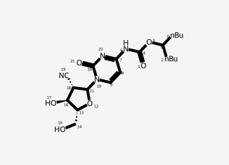 CCCCC(CCCC)OC(=O)Nc1ccn(C2O[C@H](CO)[C@@H](O)[C@@H]2C#N)c(=O)n1